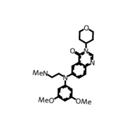 CNCCN(c1cc(OC)cc(OC)c1)c1ccc2ncn(C3CCOCC3)c(=O)c2c1